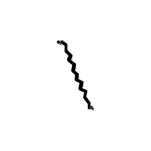 [CH2]CC/C=C/C=C/C=C/C=C/CCCC